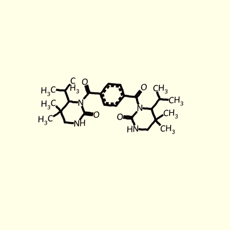 CC(C)C1N(C(=O)c2ccc(C(=O)N3C(=O)NCC(C)(C)C3C(C)C)cc2)C(=O)NCC1(C)C